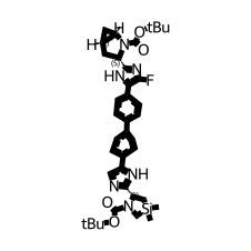 CC(C)(C)OC(=O)N1C[Si](C)(C)C[C@H]1c1ncc(-c2ccc(-c3ccc(-c4[nH]c([C@@H]5C[C@H]6C[C@H]6N5C(=O)OC(C)(C)C)nc4F)cc3)cc2)[nH]1